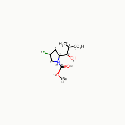 C[C@@H](C(=O)O)[C@@H](O)[C@@H]1C[C@H](F)CN1C(=O)OC(C)(C)C